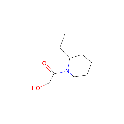 CCC1CCCCN1C(=O)CO